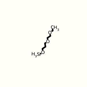 CCOCCOCCCO[SiH3]